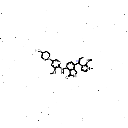 C=Nc1c(/C(=C\C)c2ccc(Nc3ncc(N4CCC(O)CC4)cc3OC)c3c2CNC3=O)ccn1C